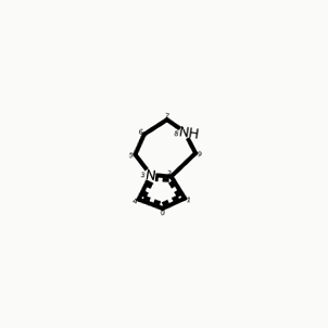 c1cc2n(c1)CCCNC2